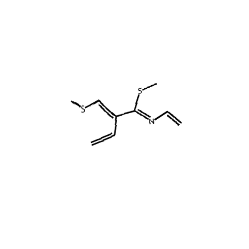 C=C/N=C(SC)/C(C=C)=C/SC